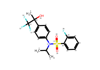 CC(C)N(c1ccc(C(C)(O)C(F)(F)F)cc1)S(=O)(=O)c1ccccc1F